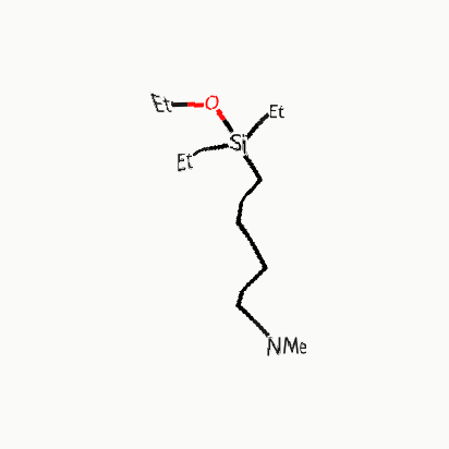 CCO[Si](CC)(CC)CCCCNC